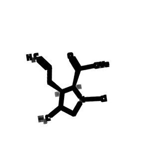 C=CC[C@@H]1C(C)CN(Cl)[C@@H]1C(=O)OC